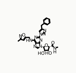 CNC(=O)[C@H]1O[C@@H](n2cnc3c(NCc4cc(C)no4)nc(-n4cc(Cc5ccccc5)nn4)nc32)[C@H](O)[C@@H]1O